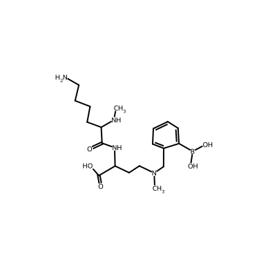 CNC(CCCCN)C(=O)NC(CCN(C)Cc1ccccc1B(O)O)C(=O)O